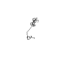 CCCCCCCCCCCCCCC(Br)C(=O)OCC(C)=O